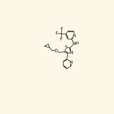 FC(F)(F)c1ccnc(Nc2nc(-c3ccccn3)c(COCC3CC3)s2)c1